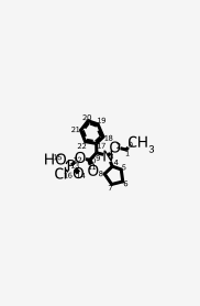 CCON(C1CCCC1)C(C(=O)OP(=O)(O)Cl)c1ccccc1